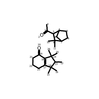 CC(=O)C1C2CCC(C2)C1(C)C.CC1C(C)(C)C2=C(C(=O)CCC2)C1(C)C